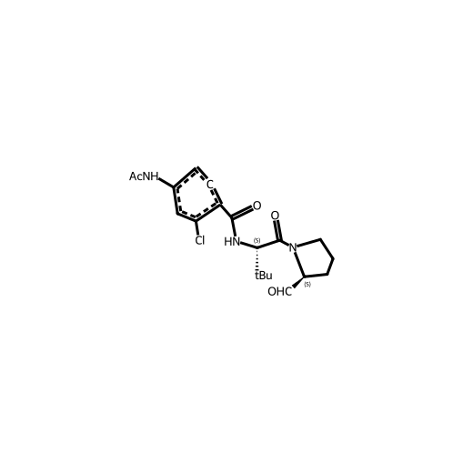 CC(=O)Nc1ccc(C(=O)N[C@H](C(=O)N2CCC[C@H]2C=O)C(C)(C)C)c(Cl)c1